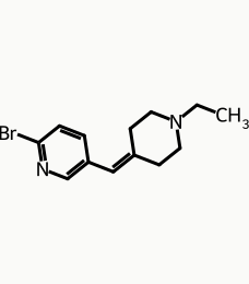 CCN1CCC(=Cc2ccc(Br)nc2)CC1